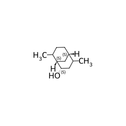 CC1C[C@H](O)[C@H]2C[C@@H]1CCC2C